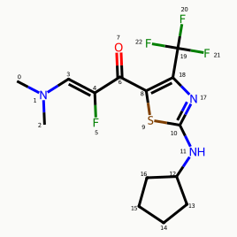 CN(C)C=C(F)C(=O)c1sc(NC2CCCC2)nc1C(F)(F)F